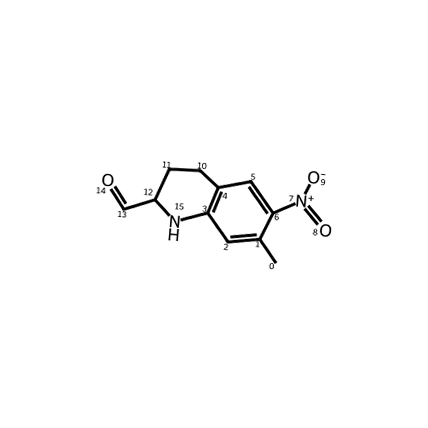 Cc1cc2c(cc1[N+](=O)[O-])CCC(C=O)N2